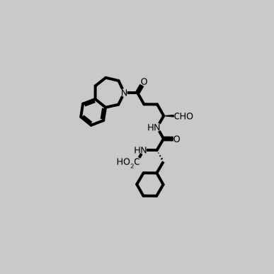 O=C[C@H](CCC(=O)N1CCCc2ccccc2C1)NC(=O)[C@H](CC1CCCCC1)NC(=O)O